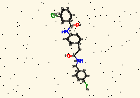 O=C(Cc1ccc(NC(=O)c2cccc(Cl)c2)cc1)NCc1ccc(F)cc1